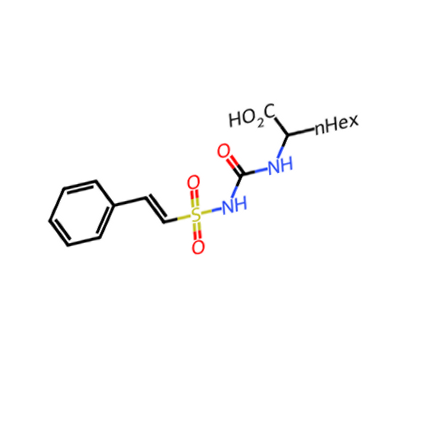 CCCCCCC(NC(=O)NS(=O)(=O)C=Cc1ccccc1)C(=O)O